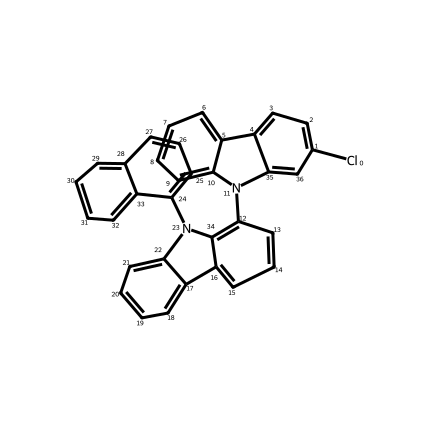 Clc1ccc2c3ccccc3n(-c3cccc4c5ccccc5n(-c5cccc6ccccc56)c34)c2c1